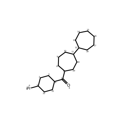 CC(C)C1CCC(C(=O)C2CCCC(C3CCCCCC3)CC2)CC1